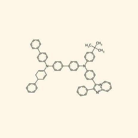 CC(C)(C)c1ccc(N(c2ccc(-c3ccc(N(C4=CCC(c5ccccc5)C=C4)c4ccc(-c5ccccc5)cc4)cc3)cc2)c2ccc(-c3c(-c4ccccc4)nc4ccccn34)cc2)cc1